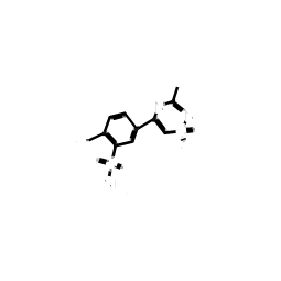 CC1=NS(=O)(=O)C=C(c2ccc(Cl)c(S(N)(=O)=O)c2)N1